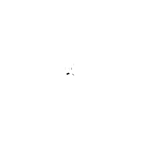 Cl.O=[PH2]Cl.[Zn]